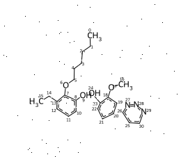 CCCCCCOc1c(O)cccc1CC.COc1ccccc1O.c1cnnnc1